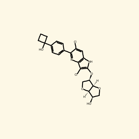 O[C@@H]1CO[C@H]2[C@@H]1OC[C@H]2Oc1[nH]c2cc(Cl)c(-c3ccc(C4(O)CCC4)cc3)nc2c1Cl